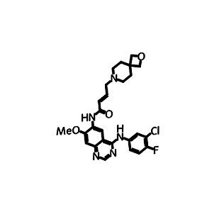 COc1cc2ncnc(Nc3ccc(F)c(Cl)c3)c2cc1NC(=O)C=CCN1CCC2(CC1)COC2